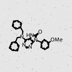 COc1c[c]cc(-n2c(=O)[nH]c3c(N(Cc4ccccc4)Cc4ccccc4)ncnc32)c1